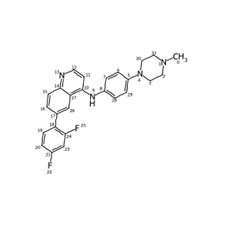 CN1CCN(c2ccc(Nc3ccnc4ccc(-c5ccc(F)cc5F)cc34)cc2)CC1